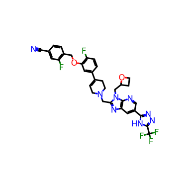 N#Cc1ccc(COc2cc(C3=CCN(Cc4nc5cc(-c6nnc(C(F)(F)F)[nH]6)cnc5n4CC4CCO4)CC3)ccc2F)c(F)c1